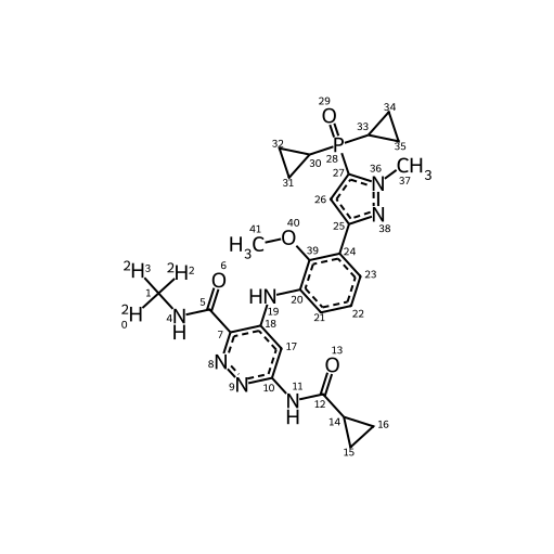 [2H]C([2H])([2H])NC(=O)c1nnc(NC(=O)C2CC2)cc1Nc1cccc(-c2cc(P(=O)(C3CC3)C3CC3)n(C)n2)c1OC